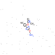 CCc1cc(Oc2cc(C#N)ccc2-c2ncc(OCCN)cn2)n(C)n1